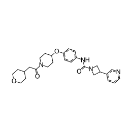 O=C(CC1CCOCC1)N1CCC(Oc2ccc(NC(=O)N3CC(c4cccnc4)C3)cc2)CC1